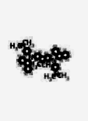 CN(C)c1ccc(N(c2ccc3c(c2)C(C)(C)c2cc(N(c4ccc(N(C)C)cc4)c4cc5ccccc5c5ccccc45)ccc2-3)c2cc3ccccc3c3ccccc23)cc1